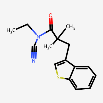 CCN(C#N)C(=O)C(C)(C)Cc1csc2ccccc12